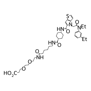 CCc1cccc(N(CC)C(=O)Cn2c(C(=O)N[C@H]3CC[C@H](C(=O)NCCCCCC(=O)NCCOCCOCCC(=O)O)CC3)cc3sccc32)c1